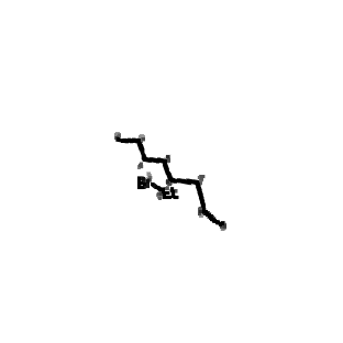 CCBr.CCCCCCCC